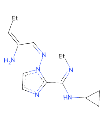 CC/C=C(N)\C=N/n1ccnc1/C(=N\CC)NC1CC1